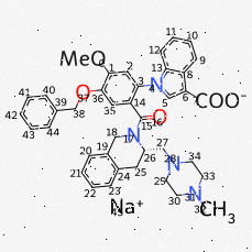 COc1cc(-n2cc(C(=O)[O-])c3ccccc32)c(C(=O)N2Cc3ccccc3C[C@H]2CN2CCN(C)CC2)cc1OCc1ccccc1.[Na+]